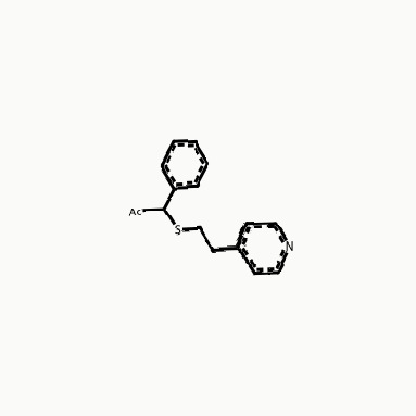 CC(=O)C(SCCc1ccncc1)c1ccccc1